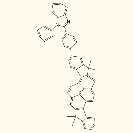 CC1(C)c2ccccc2-c2c1cc1ccc3c4c(cc5ccc2c1c53)C(C)(C)c1cc(-c2ccc(-c3nc5ccccc5n3-c3ccccc3)cc2)ccc1-4